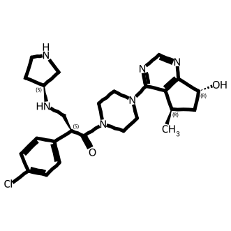 C[C@@H]1C[C@@H](O)c2ncnc(N3CCN(C(=O)[C@H](CN[C@H]4CCNC4)c4ccc(Cl)cc4)CC3)c21